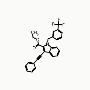 CCOC(=O)c1c(C#Cc2ccccc2)c2ccccc2n1Cc1cccc(C(F)(F)F)c1